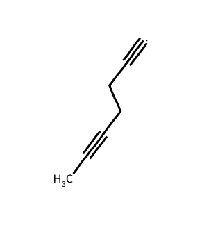 [C]#CCCC#CC